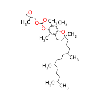 Cc1c(C)c2c(c(C)c1OC(=O)OCC1(C)CO1)CCC(C)(CCCC(C)CCCC(C)CCCC(C)C)O2